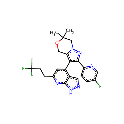 CC1(C)Cn2nc(-c3ccc(F)cn3)c(-c3cc(CCC(F)(F)F)nc4[nH]ncc34)c2CO1